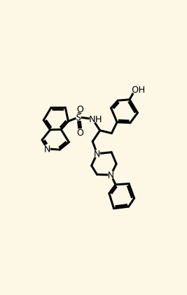 O=S(=O)(NC(Cc1ccc(O)cc1)CN1CCN(c2ccccc2)CC1)c1cccc2cnccc12